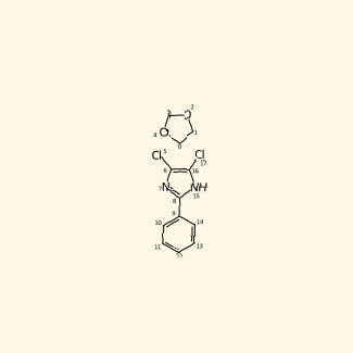 C1COCO1.Clc1nc(-c2ccccc2)[nH]c1Cl